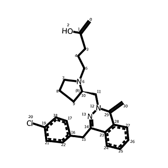 C=C(O)CCCN1CCC[C@@H]1CN1N=C(Cc2ccc(Cl)cc2)c2ccccc2C1=C